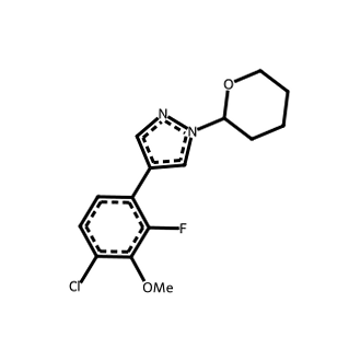 COc1c(Cl)ccc(-c2cnn(C3CCCCO3)c2)c1F